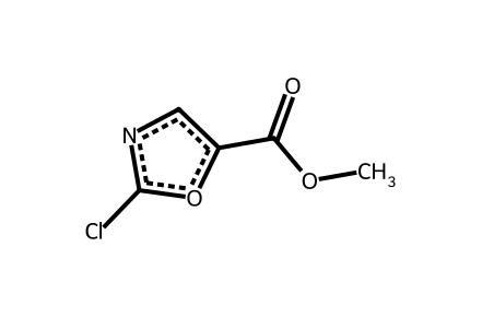 COC(=O)c1cnc(Cl)o1